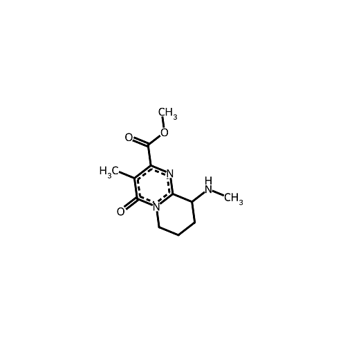 CNC1CCCn2c1nc(C(=O)OC)c(C)c2=O